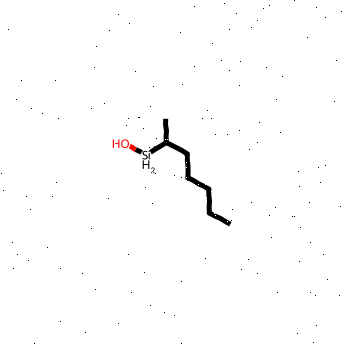 CCCCCC(C)[SiH2]O